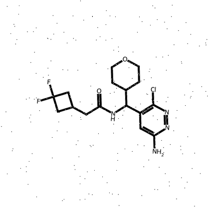 Nc1cc(C(NC(=O)CC2CC(F)(F)C2)C2CCOCC2)c(Cl)nn1